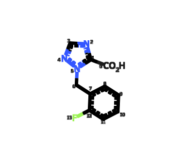 O=C(O)c1ncnn1Cc1ccccc1F